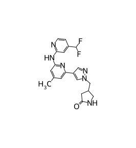 Cc1cc(Nc2cc(C(F)F)ccn2)nc(-c2cnn(CC3CNC(=O)C3)c2)c1